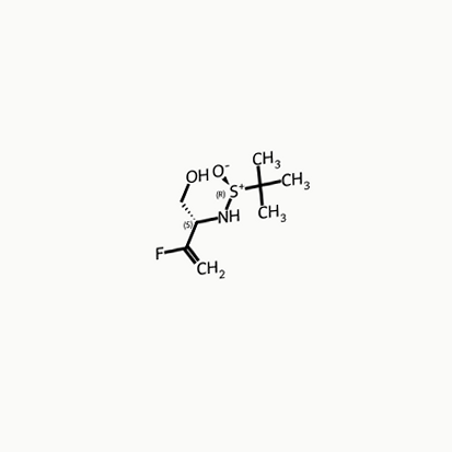 C=C(F)[C@H](CO)N[S@@+]([O-])C(C)(C)C